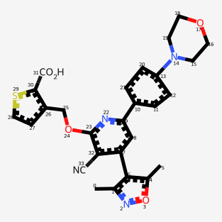 Cc1noc(C)c1-c1cc(-c2ccc(N3CCOCC3)cc2)nc(OCc2ccsc2C(=O)O)c1C#N